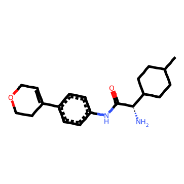 CC1CCC([C@H](N)C(=O)Nc2ccc(C3=CCOCC3)cc2)CC1